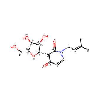 CC(C)=CCN1C=CC(=O)C([C@@H]2O[C@H](CO)[C@@H](O)[C@H]2O)C1=O